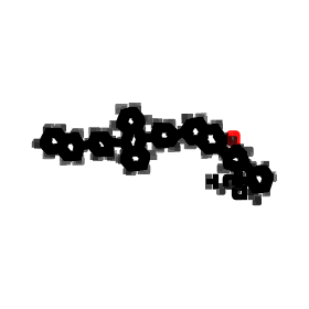 CC1(C)c2ccccc2-c2cc3oc4cc5ccc(-c6ccc(-c7c8ccccc8c(-c8ccc(-c9ccc%10ccccc%10c9)cc8)c8ccccc78)cc6)cc5cc4c3cc21